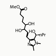 CCC[C@H](O)c1c(/C=C/C(O)C(O)CCCC(=O)OC)nc(C)n1C